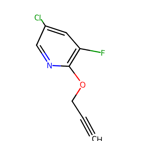 C#CCOc1ncc(Cl)cc1F